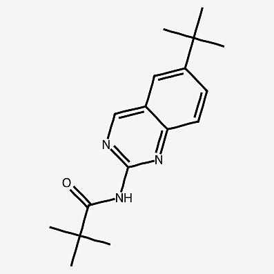 CC(C)(C)C(=O)Nc1ncc2cc(C(C)(C)C)ccc2n1